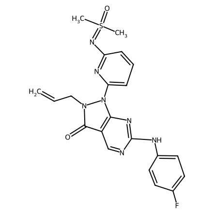 C=CCn1c(=O)c2cnc(Nc3ccc(F)cc3)nc2n1-c1cccc(N=S(C)(C)=O)n1